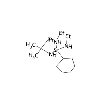 CCN[Si](NCC)(NC(C)(C)C(C)C)C1CCCCC1